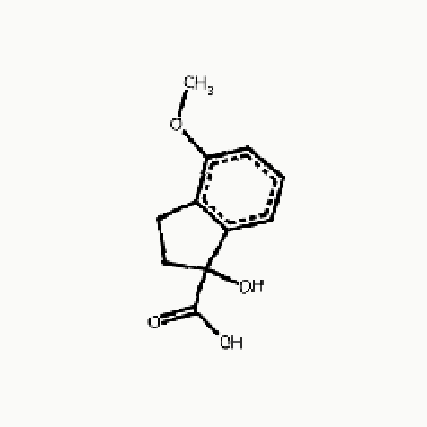 COc1cccc2c1CCC2(O)C(=O)O